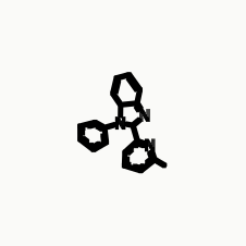 Cc1cccc(C2N=C3C=CC=CC3N2c2ccccc2)n1